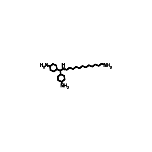 NCCCCCCCCCCCCNC(C1CCC(N)CC1)C1CCC(N)CC1